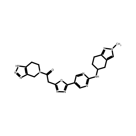 Cn1cc2c(n1)CCC(Nc1ncc(-c3nnc(CC(=O)N4CCc5[nH]nnc5C4)o3)cn1)C2